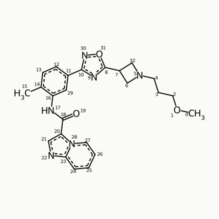 COCCCN1CC(c2nc(-c3ccc(C)c(NC(=O)c4cnc5ccccn45)c3)no2)C1